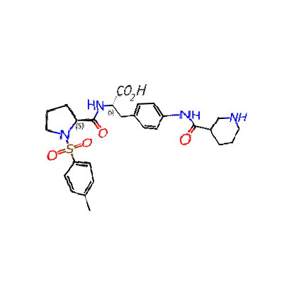 Cc1ccc(S(=O)(=O)N2CCC[C@H]2C(=O)N[C@@H](Cc2ccc(NC(=O)C3CCCNC3)cc2)C(=O)O)cc1